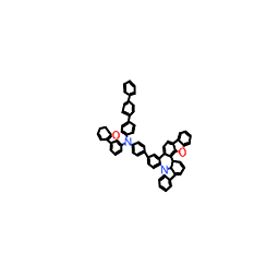 C1=CC2c3c(ccc4c3oc3ccccc34)-c3cc(-c4ccc(N(c5ccc(-c6ccc(-c7ccccc7)cc6)cc5)c5cccc6c7c(oc56)CCC=C7)cc4)ccc3N3c4ccccc4C(=C1)C23